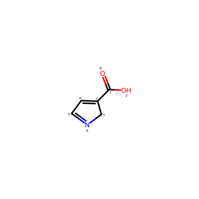 O=C(O)C1=CC=NC1